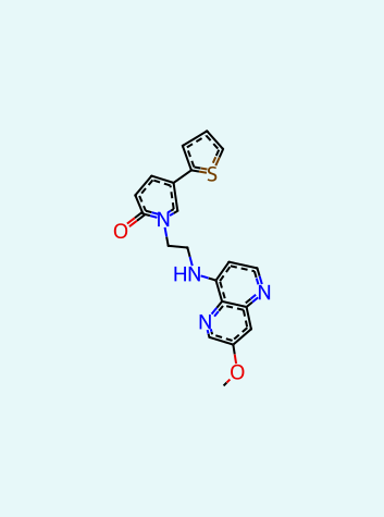 COc1cnc2c(NCCn3cc(-c4cccs4)ccc3=O)ccnc2c1